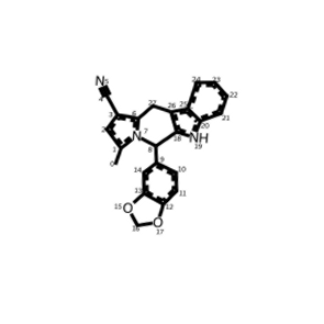 Cc1cc(C#N)c2n1C(c1ccc3c(c1)OCO3)c1[nH]c3ccccc3c1C2